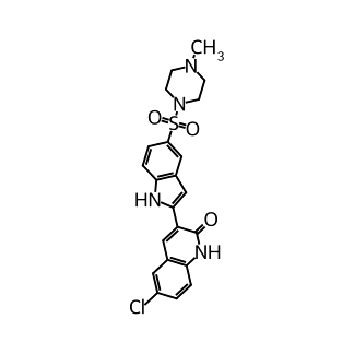 CN1CCN(S(=O)(=O)c2ccc3[nH]c(-c4cc5cc(Cl)ccc5[nH]c4=O)cc3c2)CC1